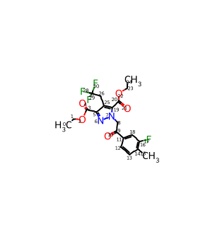 CCOC(=O)c1nn(CC(=O)c2ccc(C)c(F)c2)c(C(=O)OCC)c1CC(F)(F)F